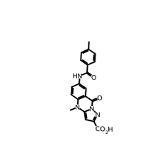 Cc1ccc(C(=O)Nc2ccc3c(c2)c(=O)n2nc(C(=O)O)cc2n3C)cc1